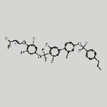 CCCc1ccc(C(F)(F)Oc2ccc(-c3cc(F)c(C(F)(F)Oc4cc(F)c(O/C=C/C(F)F)c(F)c4)c(F)c3)c(F)c2)cc1